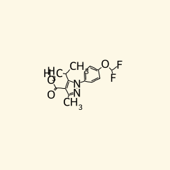 Cc1nn(-c2ccc(OC(F)F)cc2)c(C(C)C)c1C(=O)O